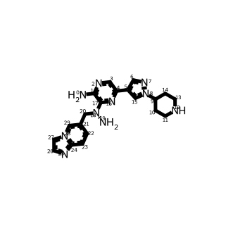 Nc1ncc(-c2cnn(C3CCNCC3)c2)nc1N(N)Cc1ccc2nccn2c1